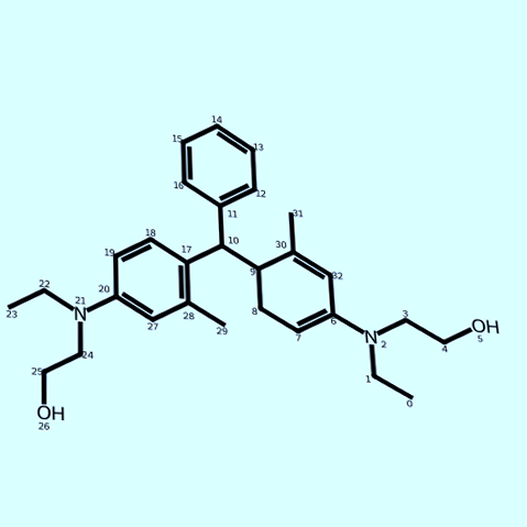 CCN(CCO)C1=CCC(C(c2ccccc2)c2ccc(N(CC)CCO)cc2C)C(C)=C1